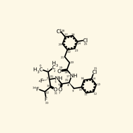 CC(C)[C@@](F)(NC(=O)[C@H](Cc1cccc(Cl)c1)NC(=O)CCc1cc(Cl)cc(Cl)c1)C(=O)C(F)F